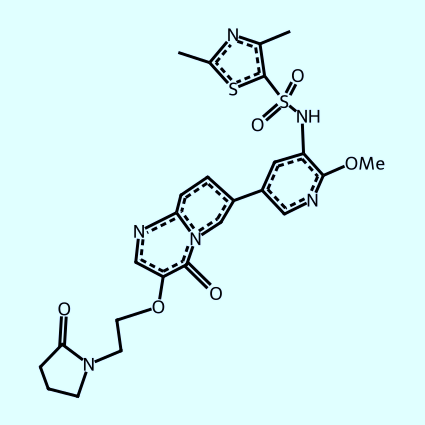 COc1ncc(-c2ccc3ncc(OCCN4CCCC4=O)c(=O)n3c2)cc1NS(=O)(=O)c1sc(C)nc1C